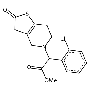 COC(=O)C(c1ccccc1Cl)N1CCC2=C(CC(=O)S2)C1